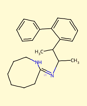 CC(/N=C1/CCCCCCN1)C(C)c1ccccc1-c1ccccc1